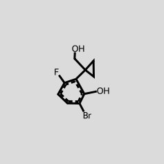 OCC1(c2c(F)ccc(Br)c2O)CC1